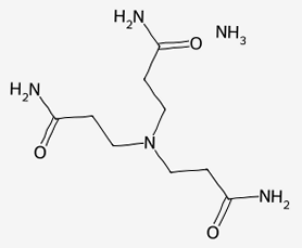 N.NC(=O)CCN(CCC(N)=O)CCC(N)=O